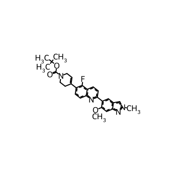 COc1cc2nn(C)cc2cc1-c1ccc2c(F)c(C3=CCN(C(=O)OC(C)(C)C)CC3)ccc2n1